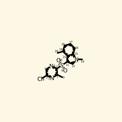 Cc1nc(Cl)cnc1S(=O)(=O)c1cn(C)c2cccc(C)c12